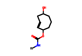 CCNC(=O)OC1/C=C/CC(O)CCC1